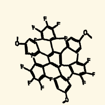 COc1ccc(-c2c(-c3c(F)c(F)c(F)c(F)c3F)c(-c3ccc(OC)cc3)c(-c3c(F)c(F)c(F)c(F)c3F)c(-c3ccc(OC)cc3)c2-c2c(F)c(F)c(F)c(F)c2F)cc1